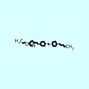 CCCCC[C@H]1CC[C@H](CC[C@H]2CC[C@H](CCc3ccc(OCCC)cn3)CC2)CC1